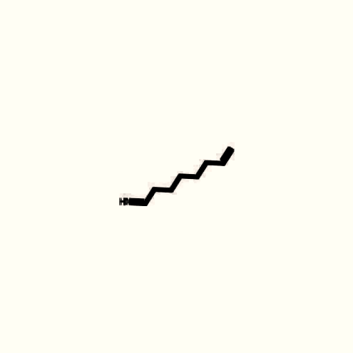 C=CCCCCCC=N